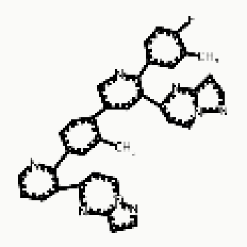 Cc1cc(-c2ncc(-c3ccc(-c4ncccc4-c4ccn5nccc5n4)cc3C)cc2-c2ccn3nccc3n2)ccc1F